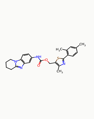 Cc1ccc(-c2nc(C)c(COC(=O)Nc3ccc4c(c3)nc3n4CCCC3)s2)c(C)c1